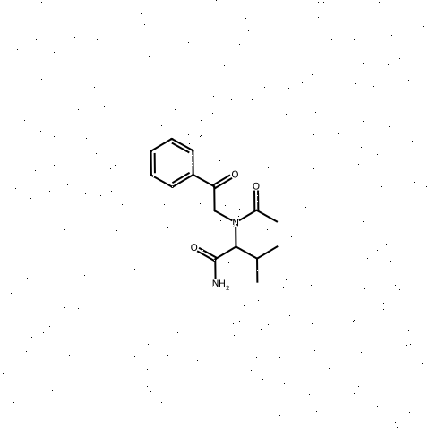 CC(=O)N(CC(=O)c1ccccc1)C(C(N)=O)C(C)C